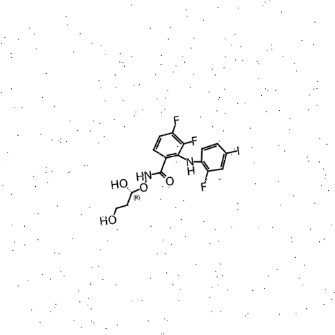 O=C(NO[C@@H](O)CCO)c1ccc(F)c(F)c1Nc1ccc(I)cc1F